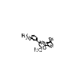 COc1cccc(C(CCO)NC(=O)c2cncc(Br)c2)c1